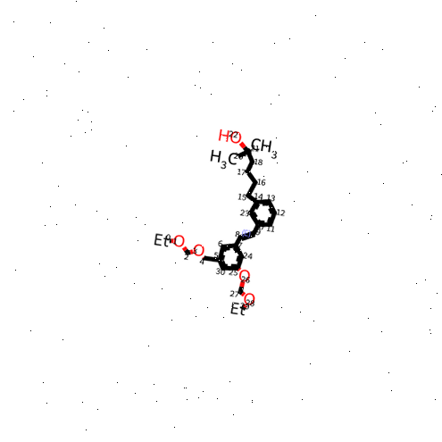 CCOCOCc1cc(/C=C/c2cccc(CCCCC(C)(C)O)c2)cc(OCOCC)c1